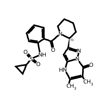 Cc1[nH]c2cc([C@@H]3CCCCN3C(=O)c3ccccc3NS(=O)(=O)C3CC3)nn2c(=O)c1C